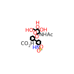 CC(=O)NC1C(O)[C@@H](O)C(CO)O[C@H]1Oc1cccc(C(=O)O)c1-c1cccc(NS(C)(=O)=O)c1